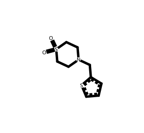 O=S1(=O)CCN(Cc2cccs2)CC1